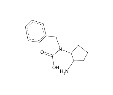 NC1CCCC1N(Cc1ccccc1)C(=O)O